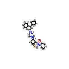 O=C1c2cc(N3CCN(CCC(c4ccccc4)c4ccccc4)CC3)ccc2SCN1C1CCCCC1